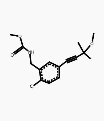 COC(=O)NCc1cc(C#CC(C)(C)OC)ccc1Cl